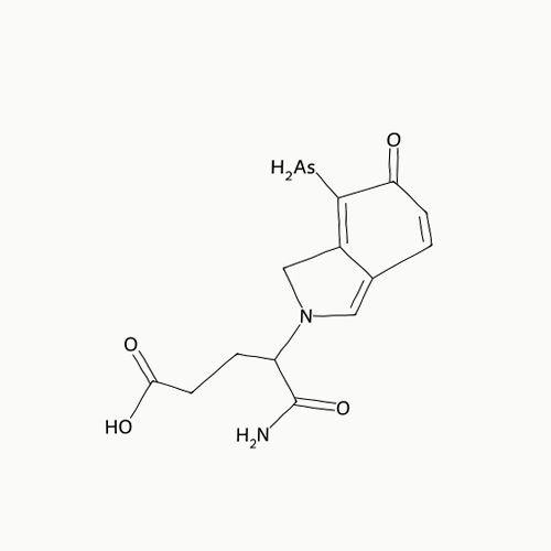 NC(=O)C(CCC(=O)O)N1C=C2C=CC(=O)C([AsH2])=C2C1